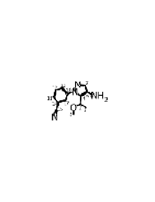 COC(C)c1c(N)cnn1-c1cccc(C#N)c1